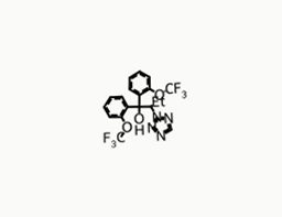 CCC(n1ncnn1)C(O)(c1ccccc1OC(F)(F)F)c1ccccc1OC(F)(F)F